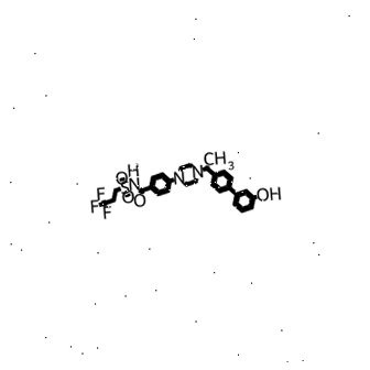 CC(c1ccc(-c2cccc(O)c2)cc1)N1CCN(c2ccc(C(=O)NS(=O)(=O)CCC(F)(F)F)cc2)CC1